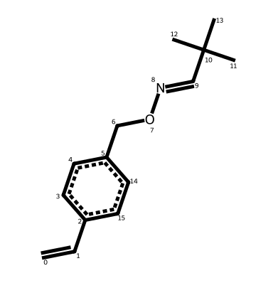 C=Cc1ccc(CON=CC(C)(C)C)cc1